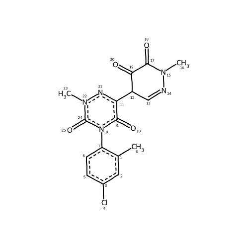 Cc1cc(Cl)ccc1-n1c(=O)c(C2C=NN(C)C(=O)C2=O)nn(C)c1=O